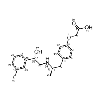 C[C@H](Cc1ccc(OCC(=O)O)cc1)NC[C@@H](O)c1cccc(Cl)c1